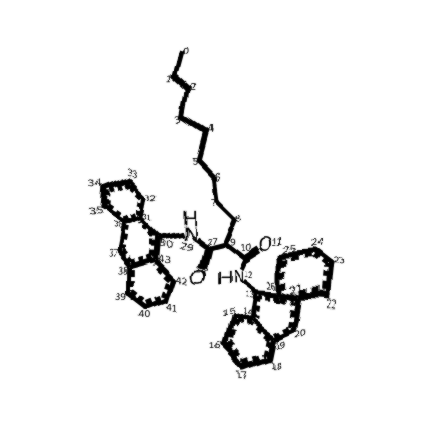 CCCCCCCCCC(C(=O)Nc1c2ccccc2cc2ccccc12)C(=O)Nc1c2ccccc2cc2ccccc12